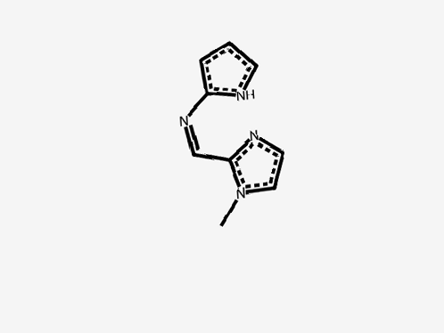 Cn1ccnc1/C=N\c1ccc[nH]1